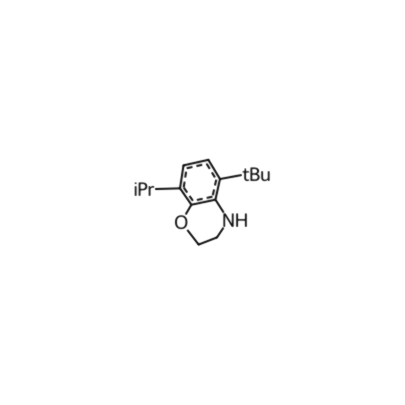 CC(C)c1ccc(C(C)(C)C)c2c1OCCN2